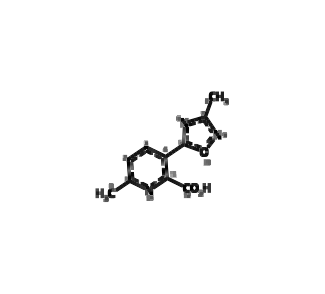 Cc1ccc(-c2nc(C)no2)c(C(=O)O)n1